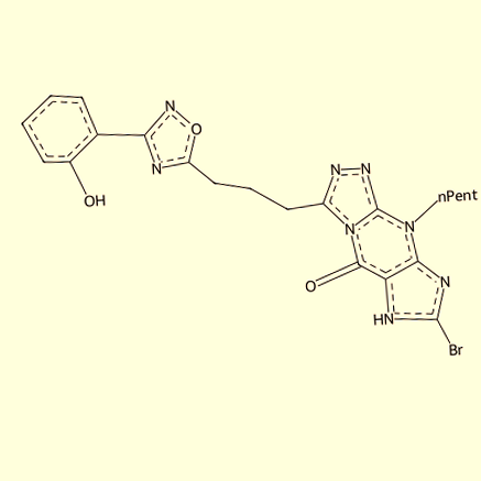 CCCCCn1c2nc(Br)[nH]c2c(=O)n2c(CCCc3nc(-c4ccccc4O)no3)nnc12